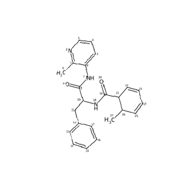 Cc1ncccc1NC(=O)C(Cc1ccccc1)NC(=O)C1C=CC=CC1C